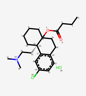 CCCC(=O)OC12CCCC[C@]1(CCN(C)C)c1cc(Cl)ccc1CC2.Cl